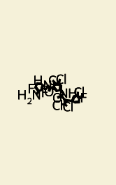 Cc1c(Cl)cc(NC(=O)C2C(c3ccc(F)c(Cl)c3)C2(Cl)Cl)cc1C(=O)Nc1ccc(F)c(N)c1F